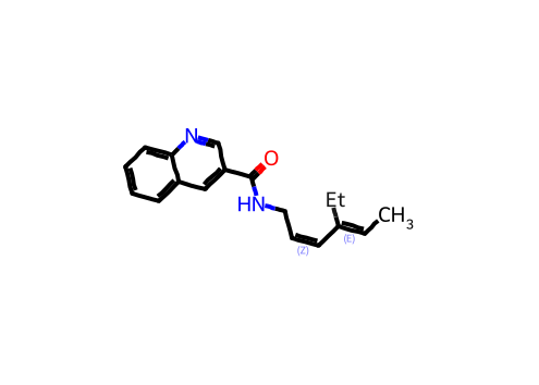 C/C=C(/C=C\CNC(=O)c1cnc2ccccc2c1)CC